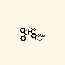 COc1ccc(C(C([NH])=O)C(=O)OC(c2ccccc2)c2ccccc2)cc1OC